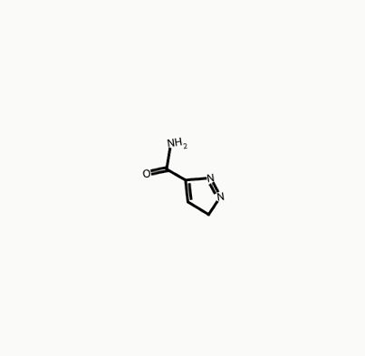 NC(=O)C1=CCN=N1